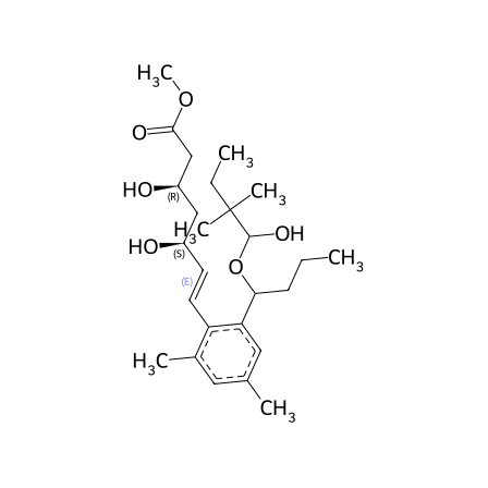 CCCC(OC(O)C(C)(C)CC)c1cc(C)cc(C)c1/C=C/[C@@H](O)C[C@@H](O)CC(=O)OC